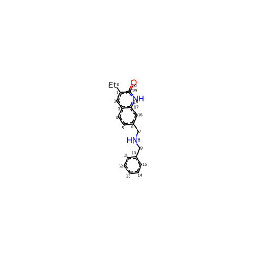 CCc1cc2ccc(CNCc3ccccc3)cc2[nH]c1=O